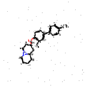 N#Cc1ccc(-c2ccc3c(c2)C[C@]2(CCN4CCCCC4C2)O3)cc1